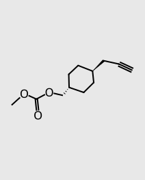 C#CC[C@H]1CC[C@H](COC(=O)OC)CC1